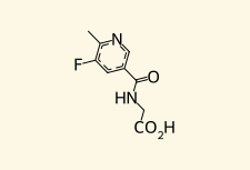 Cc1ncc(C(=O)NCC(=O)O)cc1F